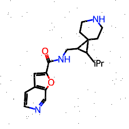 CC(C)C1C(CNC(=O)c2cc3ccncc3o2)C12CCNCC2